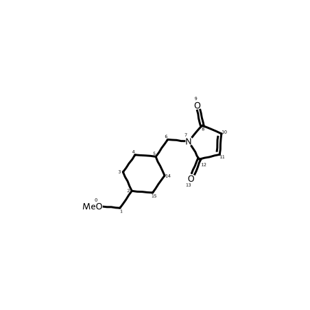 COCC1CCC(CN2C(=O)C=CC2=O)CC1